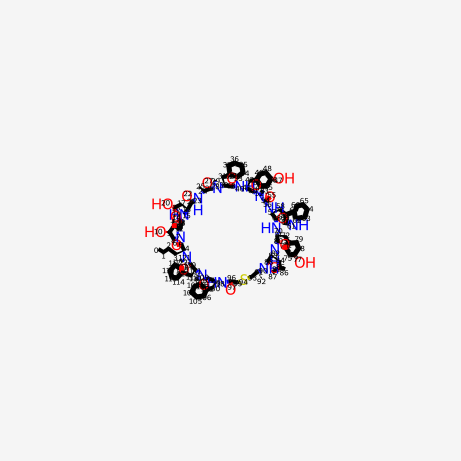 CCCC[C@H]1C(=O)N2C[C@@H](O)C[C@@H]2C(=O)N[C@@H](CC(=O)O)C(=O)N[C@@H](C)C(=O)N(C)[C@@H](Cc2ccccc2)C(=O)N[C@@H](Cc2ccc(O)cc2)C(=O)N(C)C(=O)N[C@@H](Cc2c[nH]c3ccccc23)C(=O)N[C@@H](Cc2ccc(O)cc2)C(=O)N[C@@H](CC(C)C)C(=O)N[C@H](C)CSCC(=O)N[C@@H](Cc2ccccc2)C(=O)N(C)[C@@H](Cc2ccccc2)C(=O)N1C